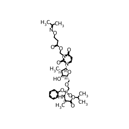 CC(C)=NOCCC(=O)OCn1c(=O)ccn([C@@H]2O[C@H](COCP(=O)(N[C@@H](C)C(=O)OC(C)C)Oc3ccccc3)[C@@H](O)[C@@H]2C)c1=O